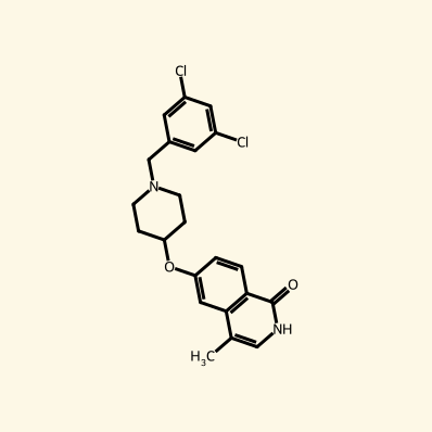 Cc1c[nH]c(=O)c2ccc(OC3CCN(Cc4cc(Cl)cc(Cl)c4)CC3)cc12